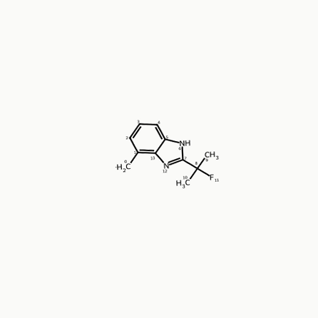 [CH2]c1cccc2[nH]c(C(C)(C)F)nc12